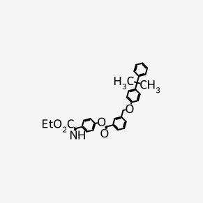 CCOC(=O)C(=N)c1ccc(OC(=O)c2cccc(COc3ccc(C(C)(C)c4ccccc4)cc3)c2)cc1